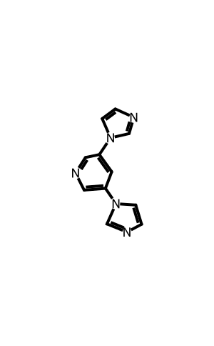 c1cn(-c2cncc(-n3ccnc3)c2)cn1